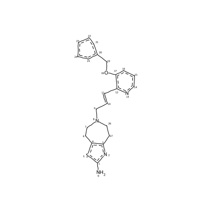 Nc1nc2c(s1)CCN(CC=Cc1ncccc1OCc1ccccc1)CC2